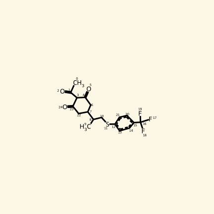 CC(=O)C1C(=O)CC(C(C)CSc2ccc(C(F)(F)F)cc2)CC1=O